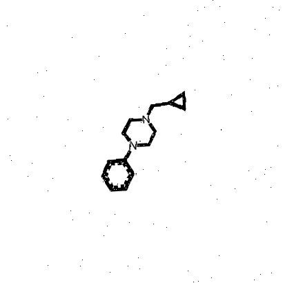 [c]1ccccc1N1CCN(CC2CC2)CC1